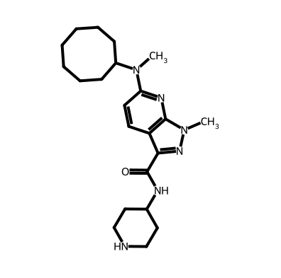 CN(c1ccc2c(C(=O)NC3CCNCC3)nn(C)c2n1)C1CCCCCCC1